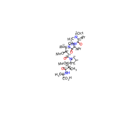 CCCCCCCCN(C)[C@H](C(=O)N[C@H](C(=O)N(C)[C@@H]([C@@H](C)CC)[C@@H](CC(=O)N1CCC[C@H]1[C@H](OC)[C@@H](C)C(=O)N[C@@H](C)C(=O)O)OC)C(C)C)C(C)C